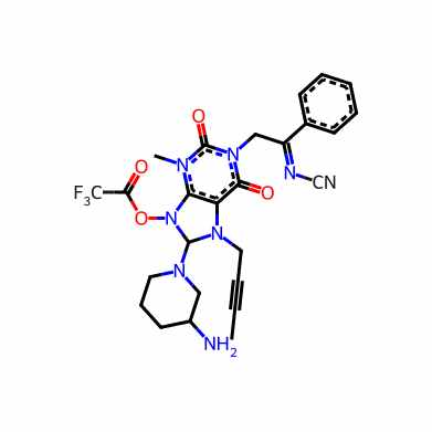 CC#CCN1c2c(n(C)c(=O)n(CC(=NC#N)c3ccccc3)c2=O)N(OC(=O)C(F)(F)F)C1N1CCCC(N)C1